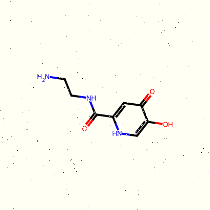 NCCNC(=O)c1cc(=O)c(O)c[nH]1